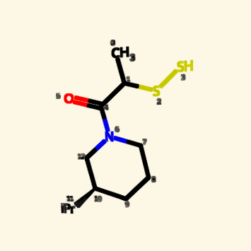 CC(SS)C(=O)N1CCC[C@@H](C(C)C)C1